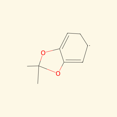 CC1(C)OC2=C[CH]CC=C2O1